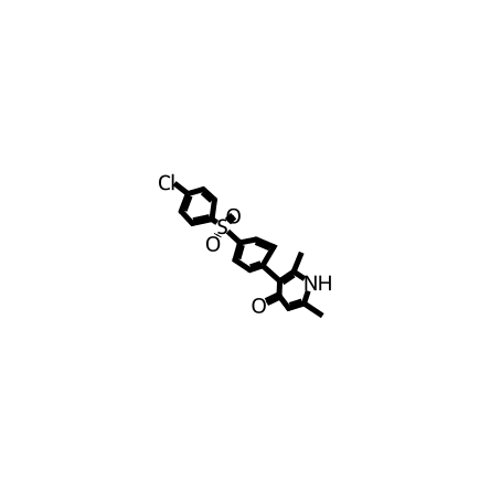 Cc1cc(=O)c(-c2ccc(S(=O)(=O)c3ccc(Cl)cc3)cc2)c(C)[nH]1